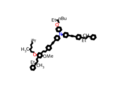 CCCCC(CC)COc1ccc(N(c2ccc(C#Cc3ccc(C=Cc4cc(OCCC(C)CCCC(C)C)c(C=CC(C)(CC)c5ccccc5)cc4OC)cc3)cc2)c2ccc(C#Cc3ccc(C(C)(C=Cc4ccccc4)CC)cc3)cc2)cc1